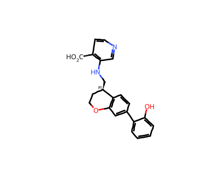 O=C(O)c1ccncc1NC[C@@H]1CCOc2cc(-c3ccccc3O)ccc21